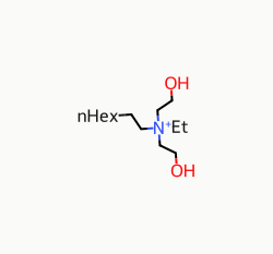 CCCCCCCC[N+](CC)(CCO)CCO